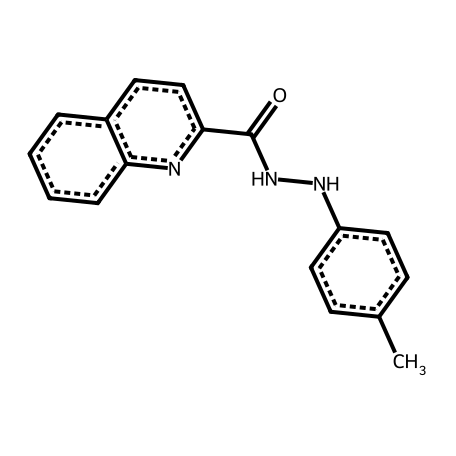 Cc1ccc(NNC(=O)c2ccc3ccccc3n2)cc1